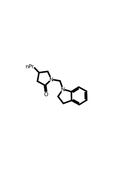 CCCC1CC(=O)N(CN2CCc3ccccc32)C1